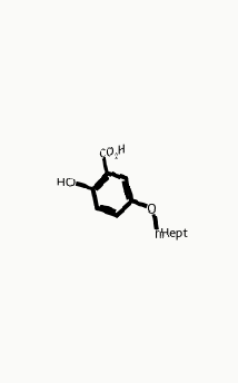 CCCCCCCOc1ccc(O)c(C(=O)O)c1